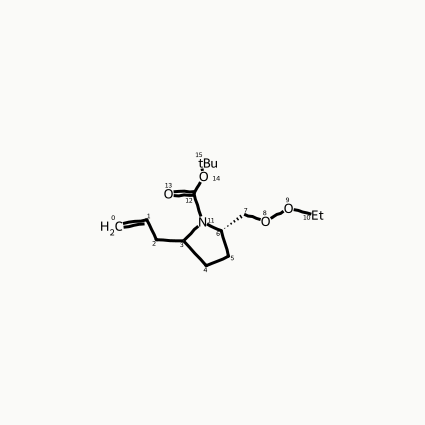 C=CCC1CC[C@@H](COOCC)N1C(=O)OC(C)(C)C